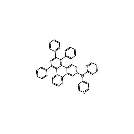 c1ccc(-c2cc(-c3ccccc3)c3c4ccccc4c4cc(N(c5ccncc5)c5ccccn5)ccc4c3c2-c2ccccc2)cc1